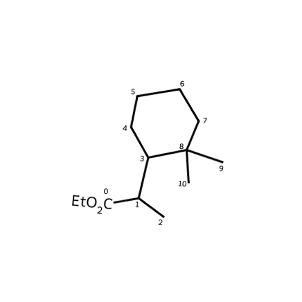 CCOC(=O)C(C)C1CCCCC1(C)C